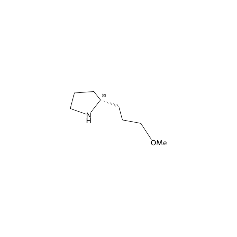 COCCC[C@H]1CCCN1